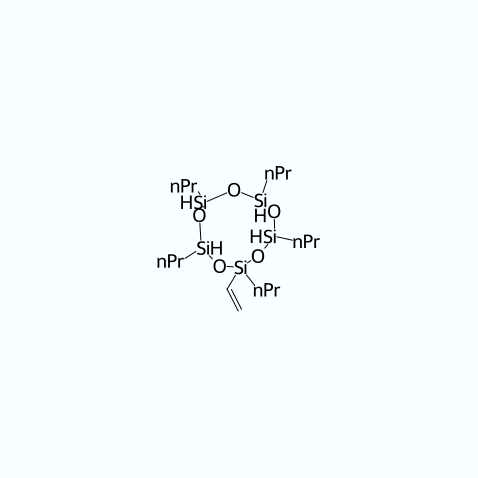 C=C[Si]1(CCC)O[SiH](CCC)O[SiH](CCC)O[SiH](CCC)O[SiH](CCC)O1